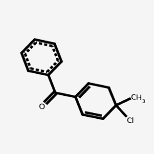 CC1(Cl)C=CC(C(=O)c2ccccc2)=CC1